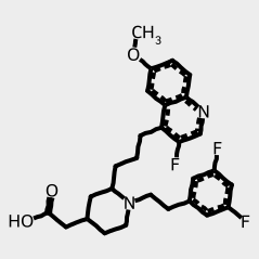 COc1ccc2ncc(F)c(CCCC3CC(CC(=O)O)CCN3CCc3cc(F)cc(F)c3)c2c1